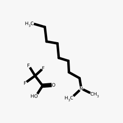 CCCCCCCCN(C)C.O=C(O)C(F)(F)F